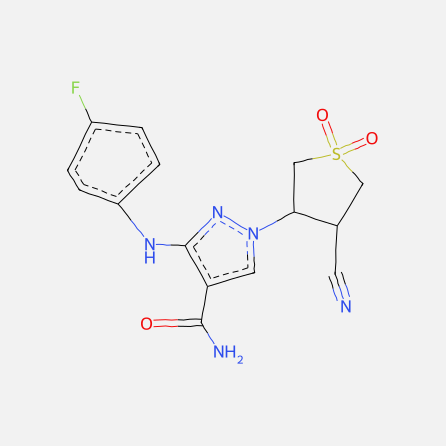 N#CC1CS(=O)(=O)CC1n1cc(C(N)=O)c(Nc2ccc(F)cc2)n1